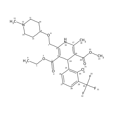 CCOC(=O)C1=C(COC2CCN(C)CC2)NC(C)=C(C(=O)OC)C1c1cccc(C(F)(F)F)c1Cl